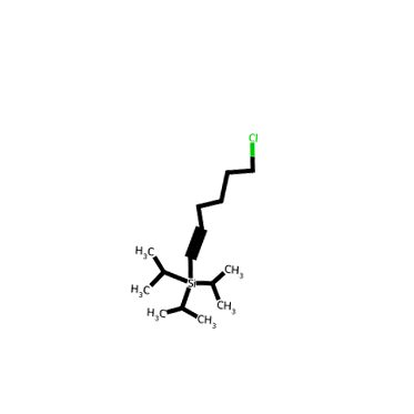 CC(C)[Si](C#CCCCCCl)(C(C)C)C(C)C